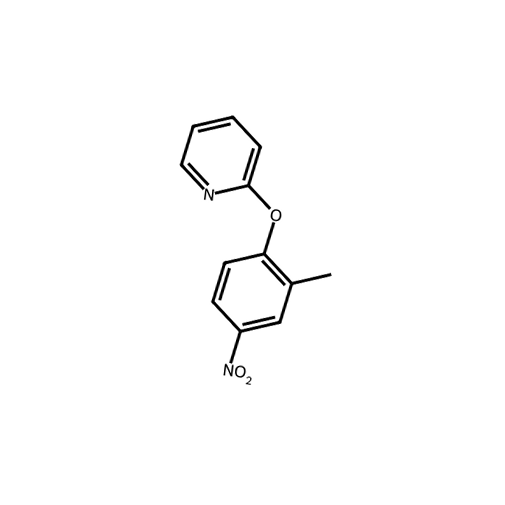 Cc1cc([N+](=O)[O-])ccc1Oc1ccccn1